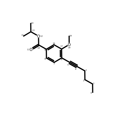 CCCCC#Cc1ccc(C(=O)OC(C)C)cc1OC